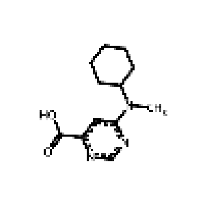 CN(c1cc(C(=O)O)ncn1)C1CCCCC1